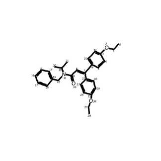 CCOc1ccc(C(=CC(=O)N(Cc2ccccc2)C(C)C)c2ccc(OCC)cc2)cc1